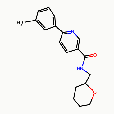 Cc1cccc(-c2ccc(C(=O)NCC3CCCCO3)cn2)c1